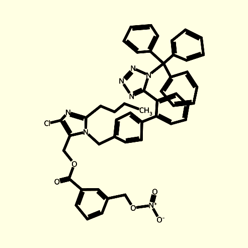 CCCCc1nc(Cl)c(COC(=O)c2cccc(CO[N+](=O)[O-])c2)n1Cc1ccc(-c2ccccc2-c2nnnn2C(c2ccccc2)(c2ccccc2)c2ccccc2)cc1